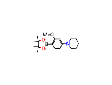 COc1cc(N2CCCCC2)ccc1B1OC(C)(C)C(C)(C)O1